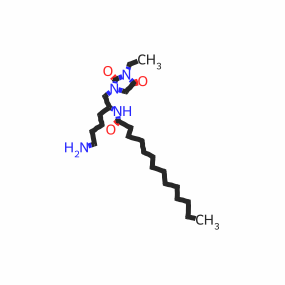 CCCCCCCCCCCCCC(=O)NC(CCCCN)CN1CC(=O)N(CC)C1=O